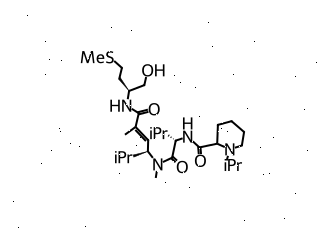 CSCC[C@@H](CO)NC(=O)/C(C)=C/[C@H](C(C)C)N(C)C(=O)[C@@H](NC(=O)C1CCCCN1C(C)C)C(C)C